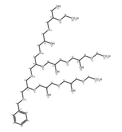 O=C(O)COCC(O)COCC(O)COC(COCc1ccccc1)COCC(COCC(O)COCC(CO)OCC(=O)O)OCC(O)COCC(O)COCC(=O)O